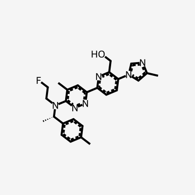 Cc1ccc([C@H](C)N(CCF)c2nnc(-c3ccc(-n4cnc(C)c4)c(CO)n3)cc2C)cc1